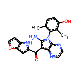 Cc1ccc(O)c(C)c1-n1c(N)c(C(=O)c2cc3occc3[nH]2)c2nccnc21